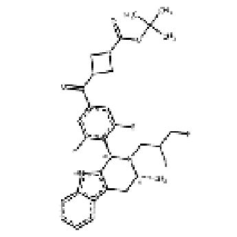 C[C@@H]1Cc2c([nH]c3ccccc23)[C@@H](c2c(F)cc(C(=O)C3CN(C(=O)OC(C)(C)C)C3)cc2F)N1CC(F)CF